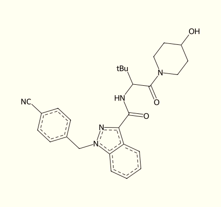 CC(C)(C)C(NC(=O)c1nn(Cc2ccc(C#N)cc2)c2ccccc12)C(=O)N1CCC(O)CC1